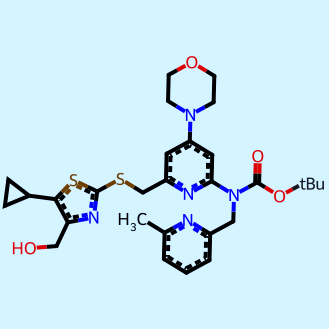 Cc1cccc(CN(C(=O)OC(C)(C)C)c2cc(N3CCOCC3)cc(CSc3nc(CO)c(C4CC4)s3)n2)n1